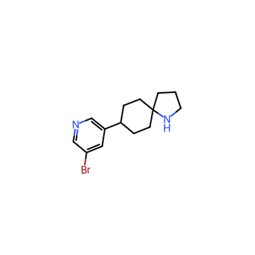 Brc1cncc(C2CCC3(CCCN3)CC2)c1